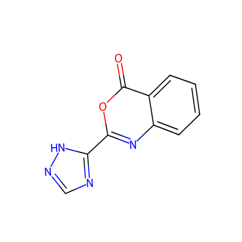 O=c1oc(-c2ncn[nH]2)nc2ccccc12